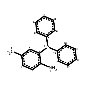 Nc1ccc(C(F)(F)F)cc1P(c1ccccc1)c1ccccc1